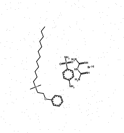 CCCCCCCCCCCC[N+](C)(C)CCOc1ccccc1.I.N=C(N)NC(=N)N.Nc1ccc(S(N)(=O)=O)cc1.[Br-]